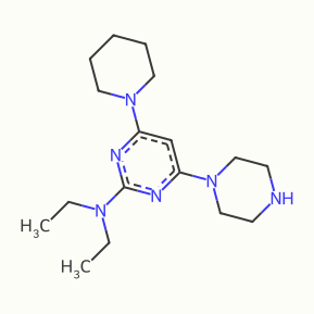 CCN(CC)c1nc(N2CCCCC2)cc(N2CCNCC2)n1